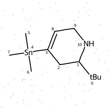 CC(C)(C)C1C[C]([Sn]([CH3])([CH3])[CH3])=CCN1